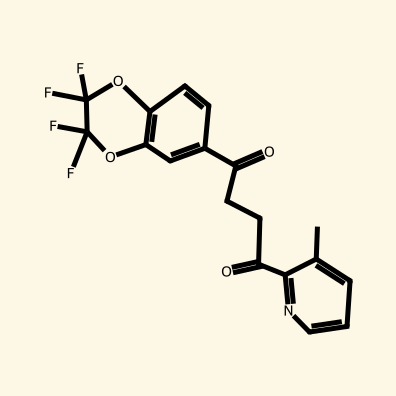 Cc1cccnc1C(=O)CCC(=O)c1ccc2c(c1)OC(F)(F)C(F)(F)O2